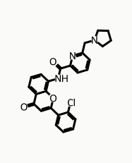 O=C(Nc1cccc2c(=O)cc(-c3ccccc3Cl)oc12)c1cccc(CN2CCCC2)n1